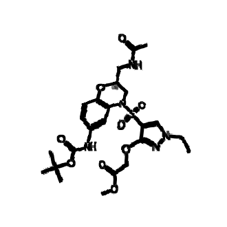 CCn1cc(S(=O)(=O)N2C[C@H](CNC(C)=O)Oc3ccc(NC(=O)OC(C)(C)C)cc32)c(OCC(=O)OC)n1